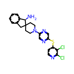 N[C@@H]1c2ccccc2CC12CCN(c1cnc(Sc3ccnc(Cl)c3Cl)cn1)CC2